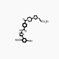 CCCCc1ccc(OC)c(-c2csc(NC(=O)c3ccc(C(=O)N4CCC(N5CC[C@@H](CCC(=O)OCC)C5)CC4)cc3)n2)c1